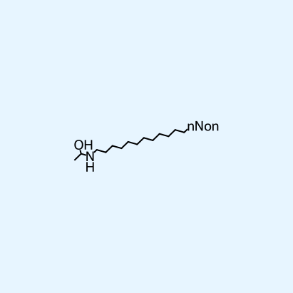 CCCCCCCCCCCCCCCCCCCCCNC(C)O